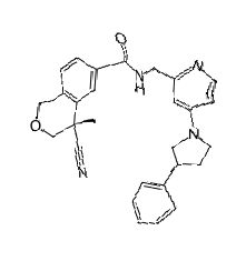 C[C@@]1(C#N)COCc2ccc(C(=O)NCc3cc(N4CCC(c5ccccc5)C4)ccn3)cc21